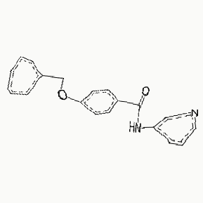 O=C(Nc1cccnc1)c1ccc(OCc2ccccc2)cc1